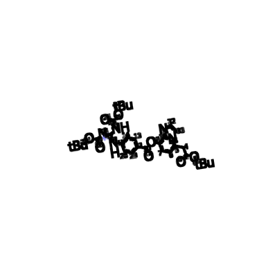 CC(C)(C)OC(=O)Cc1ccc(OC(=O)c2ccc(N/C(=N\C(=O)OC(C)(C)C)NC(=O)OC(C)(C)C)cc2)c2nccn12